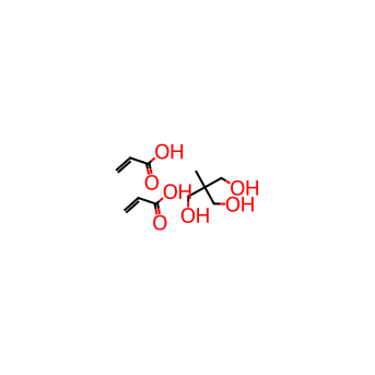 C=CC(=O)O.C=CC(=O)O.CC(CO)(CO)CO